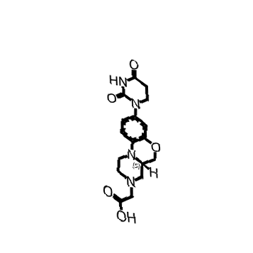 O=C(O)CN1CCN2c3ccc(N4CCC(=O)NC4=O)cc3OC[C@@H]2C1